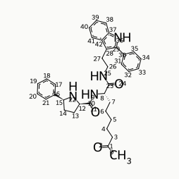 CC(=O)CCCCC[C@H](NC(=O)[C@H]1CC[C@@H](c2ccccc2)N1)C(=O)NCCc1c(-c2ccccc2)[nH]c2ccccc12